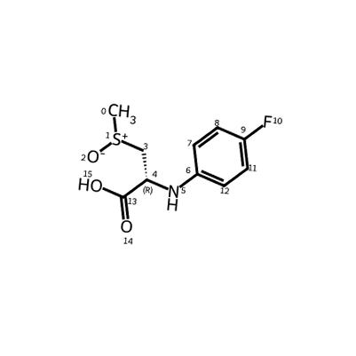 C[S+]([O-])C[C@H](Nc1ccc(F)cc1)C(=O)O